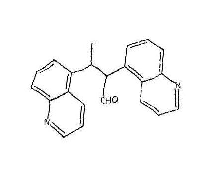 [CH2]C(c1cccc2ncccc12)C(C=O)c1cccc2ncccc12